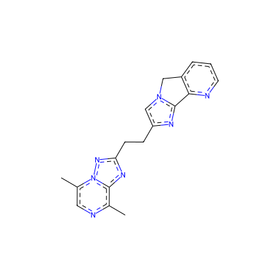 Cc1ncc(C)n2nc(CCc3cn4c(n3)-c3ncccc3C4)nc12